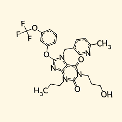 CCCn1c(=O)n(CCCO)c(=O)c2c1nc(Oc1cccc(OC(F)(F)F)c1)n2Cc1ccc(C)nc1